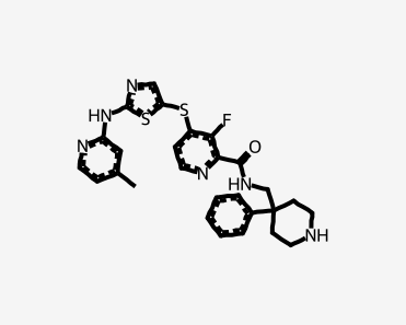 Cc1ccnc(Nc2ncc(Sc3ccnc(C(=O)NCC4(c5ccccc5)CCNCC4)c3F)s2)c1